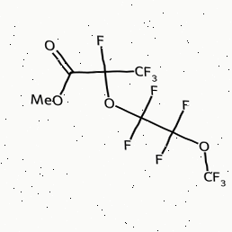 COC(=O)C(F)(OC(F)(F)C(F)(F)OC(F)(F)F)C(F)(F)F